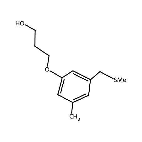 CSCc1cc(C)cc(OCCCO)c1